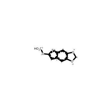 O=C(O)Oc1cc2cc3c(cc2s1)OCO3